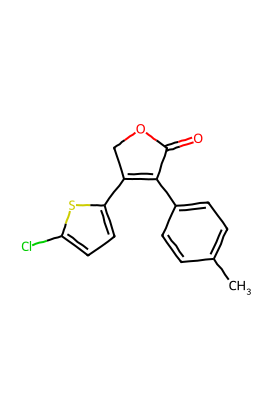 Cc1ccc(C2=C(c3ccc(Cl)s3)COC2=O)cc1